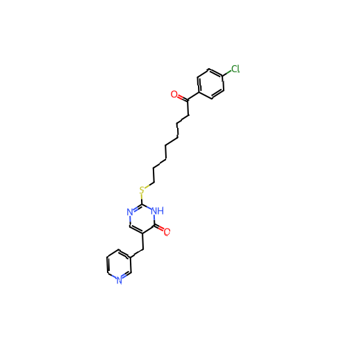 O=C(CCCCCCCSc1ncc(Cc2cccnc2)c(=O)[nH]1)c1ccc(Cl)cc1